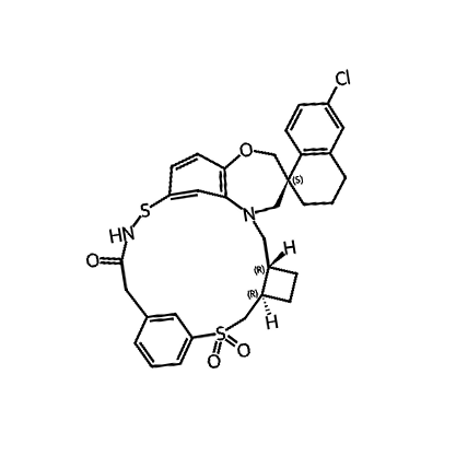 O=C1Cc2cccc(c2)S(=O)(=O)C[C@@H]2CC[C@H]2CN2C[C@@]3(CCCc4cc(Cl)ccc43)COc3ccc(cc32)SN1